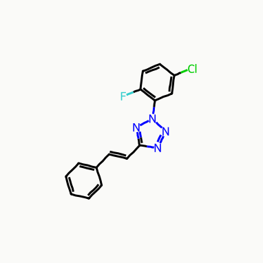 Fc1ccc(Cl)cc1-n1nnc(C=Cc2ccccc2)n1